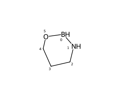 B1NCCCO1